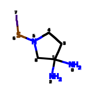 NC1(N)CCN(SI)C1